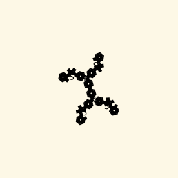 Cc1ccccc1-c1sc(-c2ccc(N(c3ccc(-c4ccc(N(c5ccc(-c6sc(-c7ccccc7C)c(C)c6C)cc5)c5ccc(-c6sc(-c7ccccc7C)c(C)c6C)cc5)cc4)cc3)c3ccc(-c4sc(-c5ccccc5C)c(C)c4C)cc3)cc2)c(C)c1C